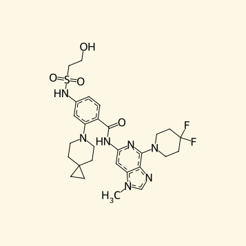 Cn1cnc2c(N3CCC(F)(F)CC3)nc(NC(=O)c3ccc(NS(=O)(=O)CCO)cc3N3CCC4(CC3)CC4)cc21